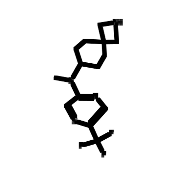 CN(c1cnc(C(F)(F)F)cn1)C1CCC2(CC1)CNC2